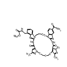 CCn1nc(C)c2c1C(=O)Nc1nc3cc(C(N)=O)ccc3n1CCCCn1c(nc3c(CNC(=O)OC(C)(C)C)cccc31)NC(=O)c1cc(C)nn1CCCCC2